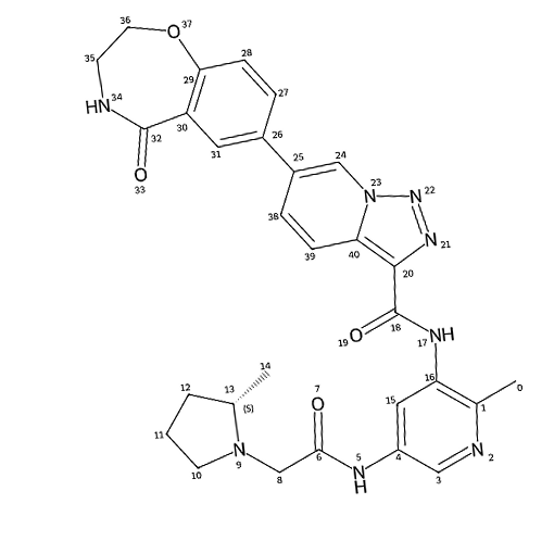 Cc1ncc(NC(=O)CN2CCC[C@@H]2C)cc1NC(=O)c1nnn2cc(-c3ccc4c(c3)C(=O)NCCO4)ccc12